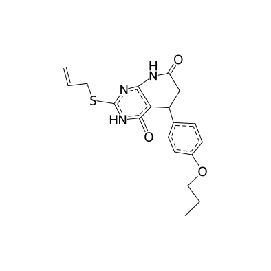 C=CCSc1nc2c(c(=O)[nH]1)C(c1ccc(OCCC)cc1)CC(=O)N2